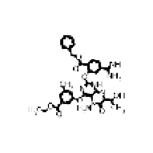 CCOC(=O)c1cc(C)cc(OC2=C3C(=NC(C(C)O)C(=O)N3N)NC(Oc3cc(C(=N)N)ccc3C(=O)OCc3ccccc3)=N2)c1